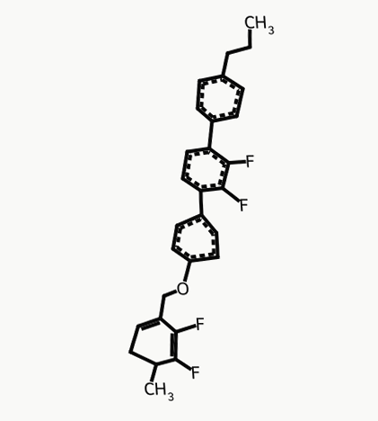 CCCc1ccc(-c2ccc(-c3ccc(OCC4=CCC(C)C(F)=C4F)cc3)c(F)c2F)cc1